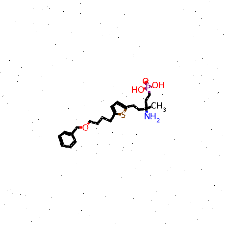 CC(N)(CCc1ccc(CCCCOCc2ccccc2)s1)CCP(=O)(O)O